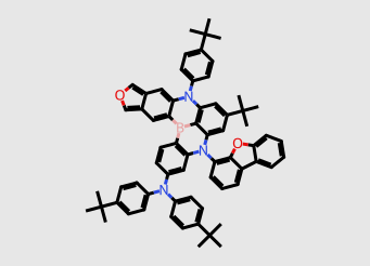 CC(C)(C)c1ccc(N(c2ccc(C(C)(C)C)cc2)c2ccc3c(c2)N(c2cccc4c2oc2ccccc24)c2cc(C(C)(C)C)cc4c2B3c2cc3cocc3cc2N4c2ccc(C(C)(C)C)cc2)cc1